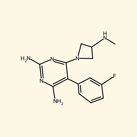 CNC1CN(c2nc(N)nc(N)c2-c2cccc(F)c2)C1